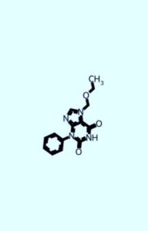 CCOCn1cnc2c1c(=O)[nH]c(=O)n2-c1ccccc1